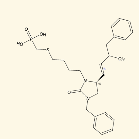 O=C1N(Cc2ccccc2)C[C@H](/C=C/C(O)Cc2ccccc2)N1CCCCSCP(=O)(O)O